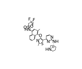 Cc1nc(Oc2c(C)cc(NS(=O)(=O)CC(F)(F)F)c3ccccc23)c(-c2ccnc(N[C@@H]3CCCNC3)n2)s1